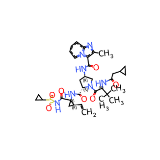 C=C[C@H]1C[C@]1(NC(=O)[C@@H]1C[C@@H](NC(=O)c2c(C)nc3ccccn23)CN1C(=O)[C@@H](NC(=O)CC1CC1)C(C)(C)C)C(=O)NS(=O)(=O)C1CC1